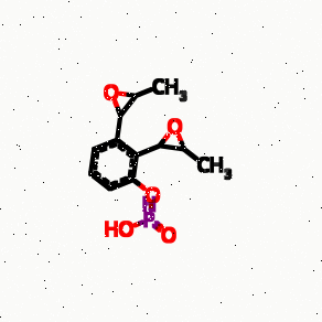 CC1OC1c1cccc(O[PH](=O)O)c1C1OC1C